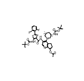 CC(=O)OC1CCc2c1ncc(NC(=O)c1nc(-c3c(F)cccc3F)sc1NC(=O)OC(C)(C)C)c2N1C[C@H](C)C[C@H](NC(=O)OC(C)(C)C)C1